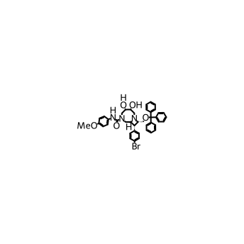 COc1ccc(NC(=O)N2C[C@@H](O)[C@@H](O)CN3[C@H](COC(c4ccccc4)(c4ccccc4)c4ccccc4)[C@H](c4ccc(Br)cc4)[C@@H]3C2)cc1